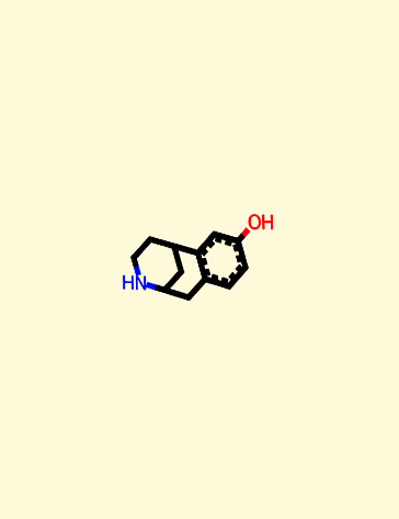 Oc1ccc2c(c1)C1CCNC(C2)C1